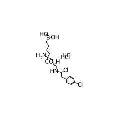 Cl.Cl.NC(CCCCB(O)O)(CCCNC(Cl)Cc1ccc(Cl)cc1)C(=O)O